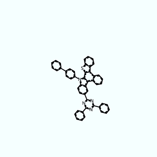 c1ccc(-c2ccc(-n3c4ccc(-c5nc(-c6ccccc6)nc(-c6ccccc6)n5)cc4c4c5ccccc5c5c6ccccc6sc5c43)cc2)cc1